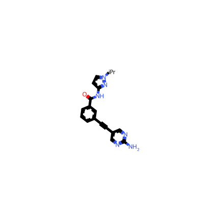 CC(C)n1ccc(NC(=O)c2cccc(C#Cc3cnc(N)nc3)c2)n1